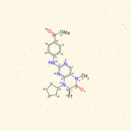 CC[C@@H]1C(=O)N(C)c2cnc(Nc3ccc(C(=O)OC)cc3)nc2N1C1CCCC1